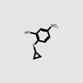 CCCc1cc([N+](=O)[O-])ccc1SC1CC1